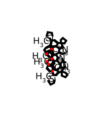 Cc1cccc(C)c1-c1cc(-c2c(C)cccc2C)c2c3c4c(ncc3n3c5cnc6c(c5c1c23)-c1c(-c2ccccc2)cc([Si]2(C)CCCC2)cc1C61CCCC1)C1(CCCC1)c1cc([Si]2(C)CCCC2)cc(-c2ccccc2)c1-4